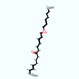 CCCCCCCCCCCCCCCCOCC[CH]CCCC(=O)CCCCCCCCCCCCCCCC